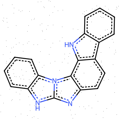 c1ccc2c(c1)[nH]c1c2ccc2nc3[nH]c4ccccc4n3c21